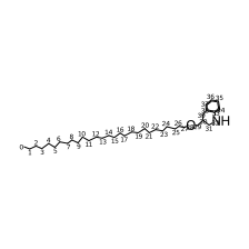 CCCCCCCCCCCCCCCCCCCCCCCCCCCCOCC1CNc2ccccc2C1